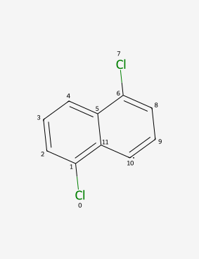 Clc1cccc2c(Cl)cc[c]c12